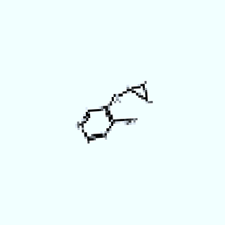 Brc1ccncc1OC1CC1